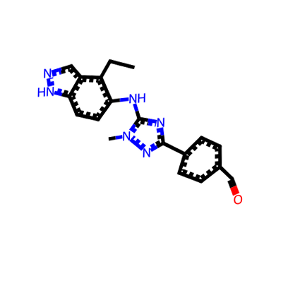 CCc1c(Nc2nc(-c3ccc(C=O)cc3)nn2C)ccc2[nH]ncc12